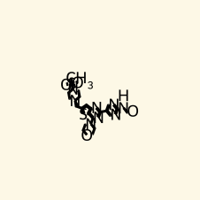 CS(=O)(=O)N1CCN(Cc2cc3nc(-c4cnc(NC=O)nc4)nc(N4CCOCC4)c3s2)CC1